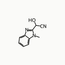 Cn1c(C(O)C#N)nc2ccccc21